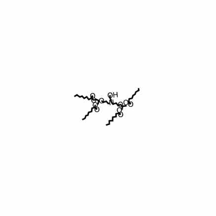 CCCCCCCC(=O)OCC(COC(=O)CCCCCCC)OCCCN(CCO)CCCOC(COC(=O)CCCCCCC)COC(=O)CCCCCCC